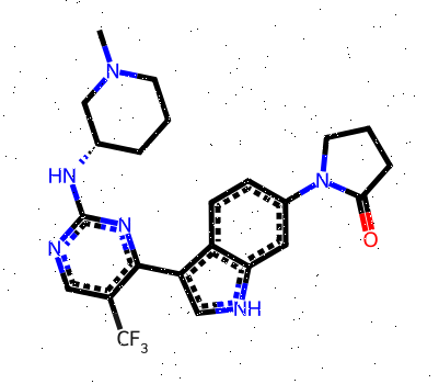 CN1CCC[C@H](Nc2ncc(C(F)(F)F)c(-c3c[nH]c4cc(N5CCCC5=O)ccc34)n2)C1